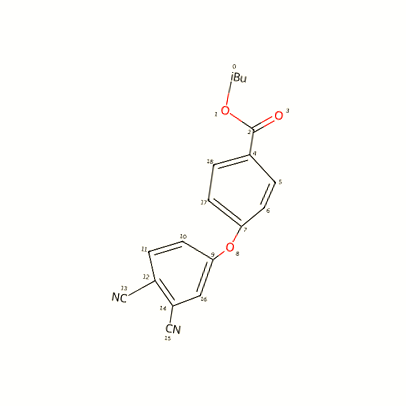 CCC(C)OC(=O)c1ccc(Oc2ccc(C#N)c(C#N)c2)cc1